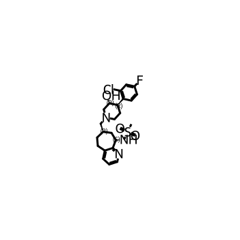 CS(=O)(=O)N[C@H]1C[C@H](CN2CC[C@H](c3ccc(F)cc3Cl)[C@@H](O)C2)CCc2cccnc21